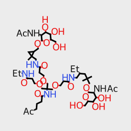 CCNC(=O)CCOCC(COCCC(=O)NCC(CC)CC(C)(C)COC1OC(CO)C(O)C(O)C1NC(C)=O)(COCCC(=O)NCC1(C)CC1COC1OC(CO)C(O)C(O)C1NC(C)=O)NC(=O)CCCC(C)=O